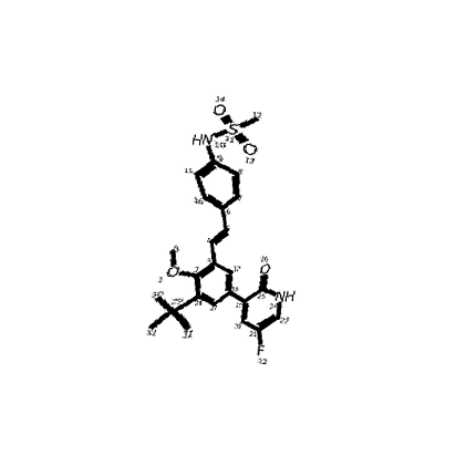 COc1c(C=Cc2ccc(NS(C)(=O)=O)cc2)cc(-c2cc(F)c[nH]c2=O)cc1C(C)(C)C